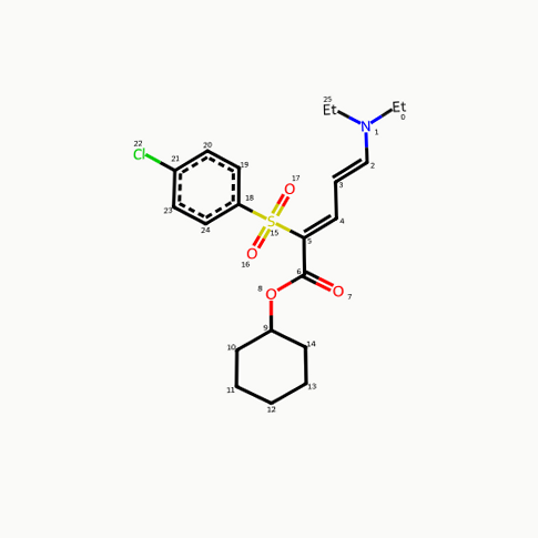 CCN(/C=C/C=C(/C(=O)OC1CCCCC1)S(=O)(=O)c1ccc(Cl)cc1)CC